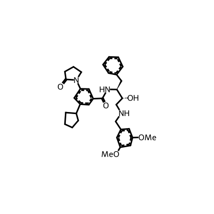 COc1cc(CNC[C@@H](O)[C@H](Cc2ccccc2)NC(=O)c2cc(C3CCCC3)cc(N3CCCC3=O)c2)cc(OC)c1